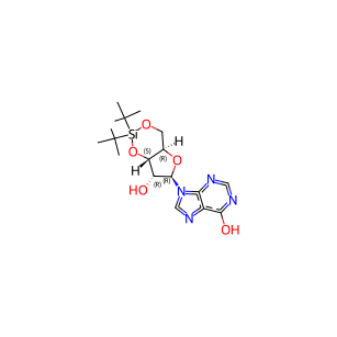 CC(C)(C)[Si]1(C(C)(C)C)OC[C@H]2O[C@@H](n3cnc4c(O)ncnc43)[C@H](O)[C@@H]2O1